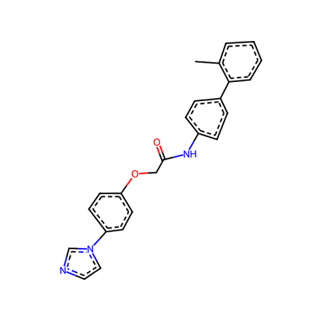 Cc1ccccc1-c1ccc(NC(=O)COc2ccc(-n3ccnc3)cc2)cc1